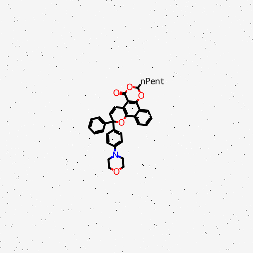 CCCCCC1OC(=O)c2c3c(c4ccccc4c2O1)OC(c1ccccc1)(c1ccc(N2CCOCC2)cc1)C=C3